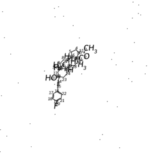 CC(=O)[C@H]1CC[C@H]2[C@@H]3CC[C@@H]4C[C@@](O)(C#Cc5ccc(F)cc5)CC[C@]4(C)[C@H]3CC[C@]12C